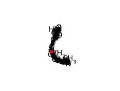 CN(C(=O)C12CC(COCCCCOc3ccc4c(c3)C(=O)N(C3CCC(=O)NC3=O)C4=O)(C1)C2)C1CC(Oc2ccc(-c3ccc4c5cnccc5n(C)c4c3)cn2)C1